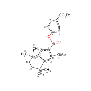 CCOC(=O)c1ccc(OC(=O)c2cc3c(cc2OC)C(C)(C)CCC3(C)C)cc1